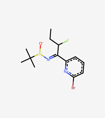 CCC(F)C(=N[S+]([O-])C(C)(C)C)c1cccc(Br)n1